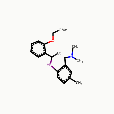 CCC(Pc1ccc(C)cc1CN(C)C)c1ccccc1OCOC